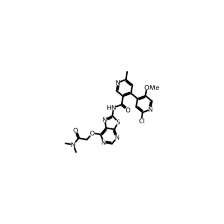 COc1cnc(Cl)cc1-c1cc(C)ncc1C(=O)Nc1nc2c(OCC(=O)N(C)C)ncnc2s1